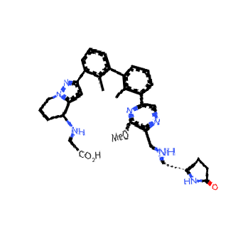 COc1nc(-c2cccc(-c3cccc(-c4cc5n(n4)CCCC5NCC(=O)O)c3C)c2C)cnc1CNC[C@@H]1CCC(=O)N1